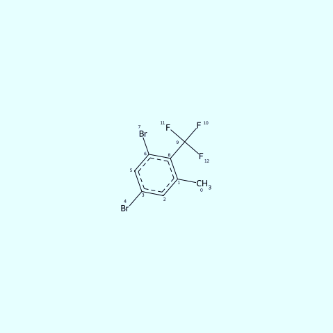 Cc1cc(Br)cc(Br)c1C(F)(F)F